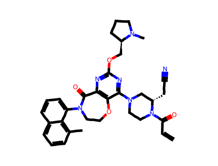 C=CC(=O)N1CCN(c2nc(OC[C@H]3CCCN3C)nc3c2OCCN(c2cccc4cccc(C)c24)C3=O)C[C@@H]1CC#N